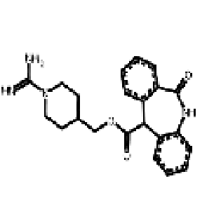 N=C(N)N1CCC(COC(=O)C2c3ccccc3NC(=O)c3ccccc32)CC1